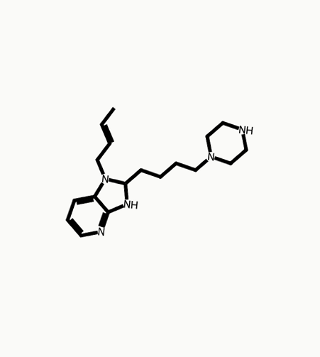 C/C=C/CN1c2cccnc2NC1CCCCN1CCNCC1